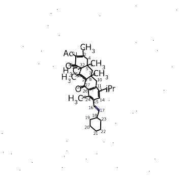 CC(=O)C1=C(C)CC2(C)CC3(C)Cc4c(C(C)C)cc(/C=C/C5CCCCC5)c(C)c4C(=O)C3=C(C)C2(C)C1=O